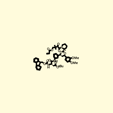 C=CC(=O)OCC(C)(C)C(=O)C(=O)N1CCCC[C@H]1C(=O)O[C@H](CCc1ccc(OC)c(OC)c1)c1cccc(NC(=O)[C@H](CC(=O)OC(C)(C)C)NC(=O)OCC2c3ccccc3-c3ccccc32)c1